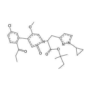 CCC(=O)c1ccc(Cl)cc1-c1cc(=O)n(C(Cc2ccn(C3CC3)n2)C(=O)OC(C)(C)CC)cc1OC